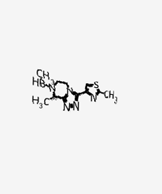 CBN1CCn2c(-c3csc(C)n3)nnc2[C@H]1C